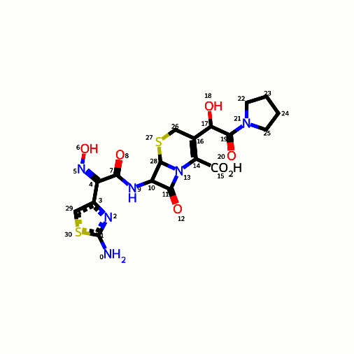 Nc1nc(/C(=N/O)C(=O)NC2C(=O)N3C(C(=O)O)=C(C(O)C(=O)N4CCCC4)CSC23)cs1